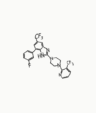 Fc1cccc(-c2cc(C(F)(F)F)cc3nc(N4CCN(c5ncccc5C(F)(F)F)CC4)[nH]c23)c1